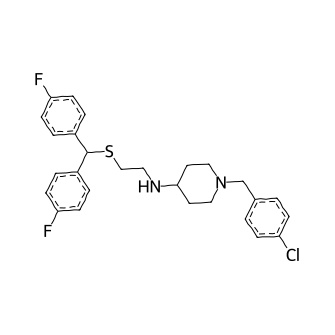 Fc1ccc(C(SCCNC2CCN(Cc3ccc(Cl)cc3)CC2)c2ccc(F)cc2)cc1